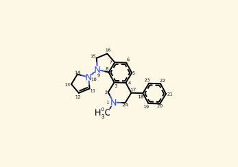 CN1Cc2c(ccc3c2N(N2C=CCC2)CC3)C(c2ccccc2)C1